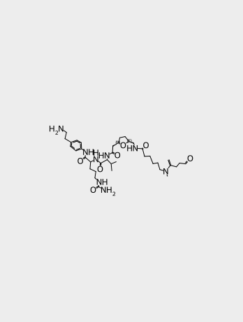 C=C(CCC=O)N(C)CCCCCC(=O)NC[C@@H]1CC[C@H](CC(=O)NC(C(=O)NC(CCCNC(N)=O)C(=O)Nc2ccc(CCN)cc2)C(C)C)O1